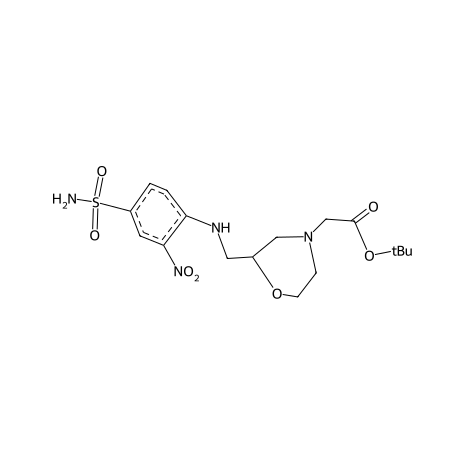 CC(C)(C)OC(=O)CN1CCOC(CNc2ccc(S(N)(=O)=O)cc2[N+](=O)[O-])C1